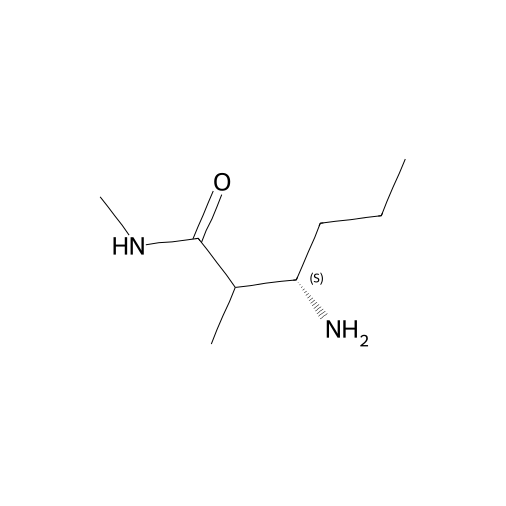 CCC[C@H](N)C(C)C(=O)NC